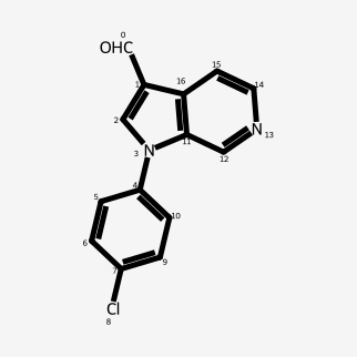 O=Cc1cn(-c2ccc(Cl)cc2)c2cnccc12